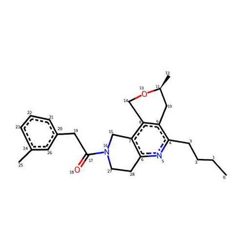 CCCCc1nc2c(c3c1C[C@H](C)OC3)CN(C(=O)Cc1cccc(C)c1)CC2